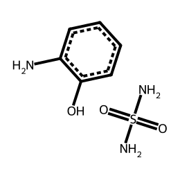 NS(N)(=O)=O.Nc1ccccc1O